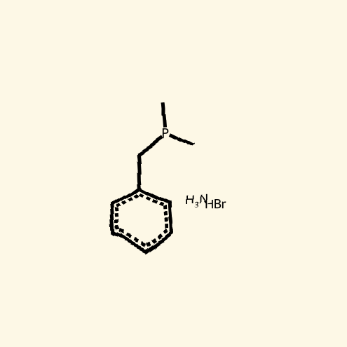 Br.CP(C)Cc1ccccc1.N